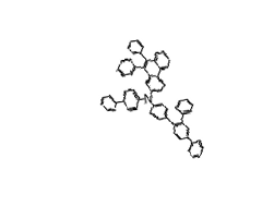 c1ccc(-c2ccc(N(c3ccc(-c4ccc(-c5ccccc5)cc4-c4ccccc4)cc3)c3ccc4c(c3)c(-c3ccccc3)c(-c3ccccc3)c3ccccc34)cc2)cc1